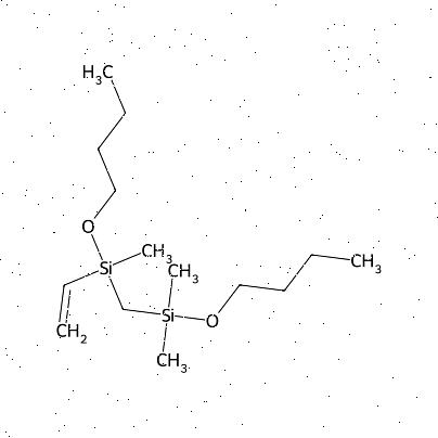 C=C[Si](C)(C[Si](C)(C)OCCCC)OCCCC